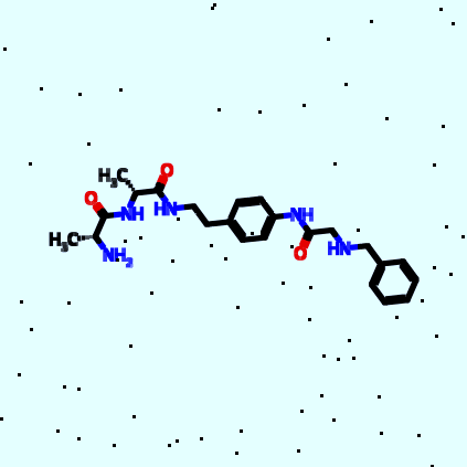 C[C@@H](N)C(=O)N[C@H](C)C(=O)NCCc1ccc(NC(=O)CNCc2ccccc2)cc1